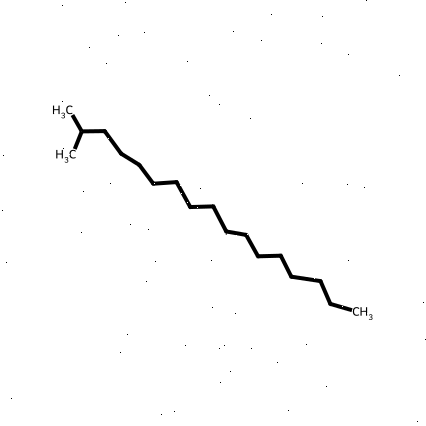 CCCCCCC[CH]CCCCCCCC(C)C